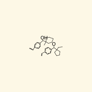 C=Cc1ccc(C(O)C2(C)CCCC(OC(c3ccc(C=C)cc3)C3(CC)CCCC3)C2)cc1